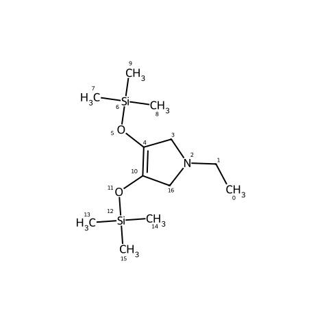 CCN1CC(O[Si](C)(C)C)=C(O[Si](C)(C)C)C1